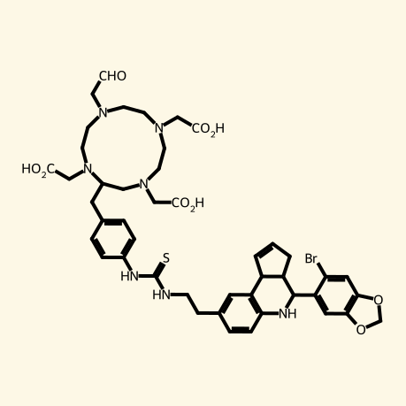 O=CCN1CCN(CC(=O)O)CCN(CC(=O)O)CC(Cc2ccc(NC(=S)NCCc3ccc4c(c3)C3C=CCC3C(c3cc5c(cc3Br)OCO5)N4)cc2)N(CC(=O)O)CC1